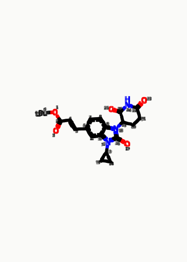 CC(C)(C)OC(=O)/C=C/c1ccc2c(c1)n(C1CC1)c(=O)n2C1CCC(=O)NC1=O